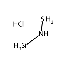 Cl.[SiH3]N[SiH3]